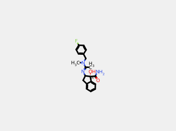 CC(=NC1Cc2ccccc2[C@]1(O)C(N)=O)N(C)Cc1ccc(F)cc1